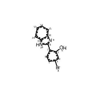 Oc1cc(Br)ccc1-c1nc2ccccc2[nH]1